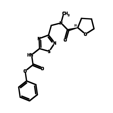 CN(Cc1nsc(NC(=O)Oc2ccccc2)n1)C(=O)[C@H]1CCCO1